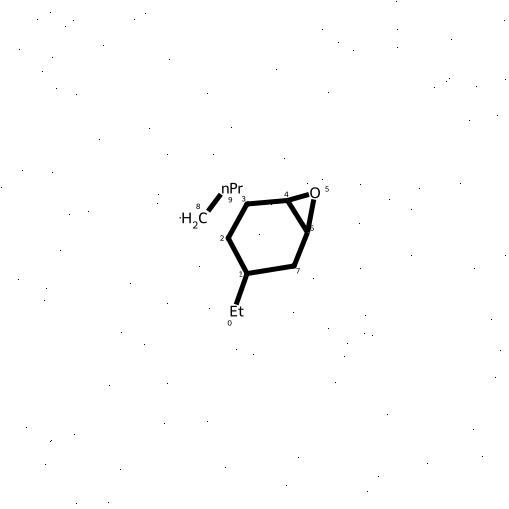 [CH2]CC1CCC2OC2C1.[CH2]CCC